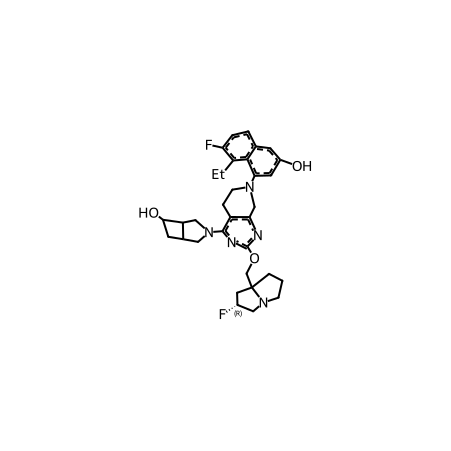 CCc1c(F)ccc2cc(O)cc(N3CCc4c(nc(OCC56CCCN5C[C@H](F)C6)nc4N4CC5CC(O)C5C4)C3)c12